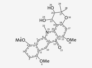 COc1ccc(OC)c2cc3c(cc12)c(=O)c1c(OC)cc2c(c1n3C)C(O)C(O)C(C)(C)O2